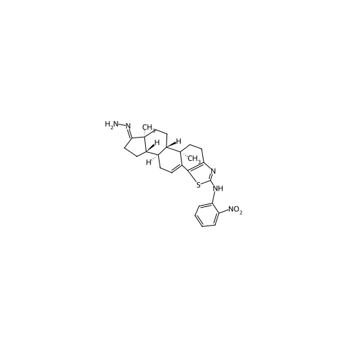 C[C@]12CCc3nc(Nc4ccccc4[N+](=O)[O-])sc3C1=CC[C@@H]1[C@@H]2CC[C@]2(C)/C(=N/N)CC[C@@H]12